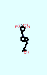 CCC1(O)[C@H](O)CC(=C/C=C2\CCCC3(C)C2CCC3[C@H](C)CCCC(C)(C)O)C[C@H]1O